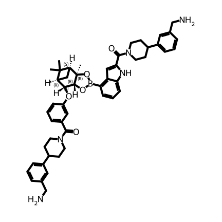 CC1(C)[C@H]2C[C@@H]1[C@@]1(C)OB(c3cccc4[nH]c(C(=O)N5CCC(c6cccc(CN)c6)CC5)cc34)O[C@@H]1[C@@H]2Oc1cccc(C(=O)N2CCC(c3cccc(CN)c3)CC2)c1